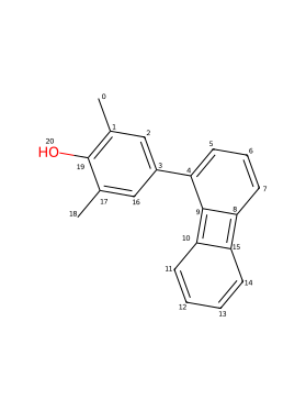 Cc1cc(-c2cccc3c2=c2ccccc2=3)cc(C)c1O